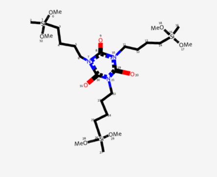 CO[Si](C)(CCCCn1c(=O)n(CCCC[Si](C)(OC)OC)c(=O)n(CCCC[Si](C)(OC)OC)c1=O)OC